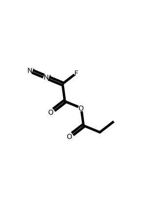 CCC(=O)OC(=O)C(F)=[N+]=[N-]